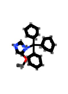 O=COc1cncn1C(c1ccccc1)(c1ccccc1)c1ccccc1